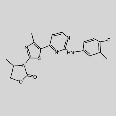 Cc1cc(Nc2nccc(-c3sc(N4C(=O)OCC4C)nc3C)n2)ccc1F